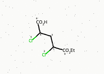 CCOC(=O)C(Cl)CC(Cl)C(=O)O